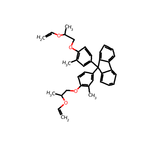 C=COC(C)COc1ccc(C2(c3ccc(OCC(C)OC=C)c(C)c3)c3ccccc3-c3ccccc32)cc1C